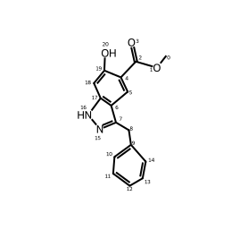 COC(=O)c1cc2c(Cc3ccccc3)n[nH]c2cc1O